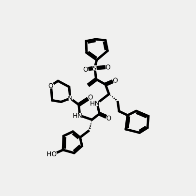 C=C(C(=O)[C@H](CCc1ccccc1)NC(=O)[C@H](Cc1ccc(O)cc1)NC(=O)N1CCOCC1)S(=O)(=O)c1ccccc1